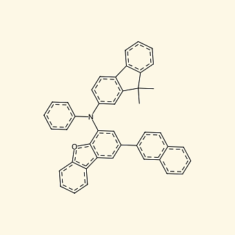 CC1(C)c2ccccc2-c2ccc(N(c3ccccc3)c3cc(-c4ccc5ccccc5c4)cc4c3oc3ccccc34)cc21